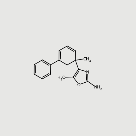 Cc1oc(N)nc1C1(C)C=CC=C(c2ccccc2)C1